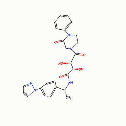 C[C@@H](NC(=O)[C@H](O)[C@@H](O)C(=O)N1CCN(c2ccccc2)C(=O)C1)c1ccc(-n2cccn2)cc1